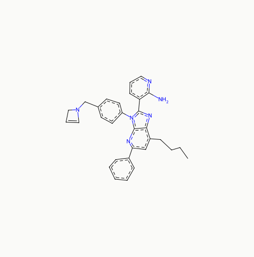 CCCCc1cc(-c2ccccc2)nc2c1nc(-c1cccnc1N)n2-c1ccc(CN2C=CC2)cc1